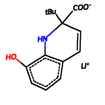 CC(C)(C)C1(C(=O)[O-])C=Cc2cccc(O)c2N1.[Li+]